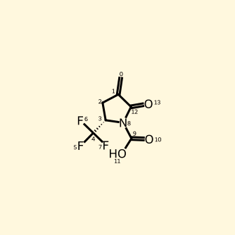 C=C1C[C@@H](C(F)(F)F)N(C(=O)O)C1=O